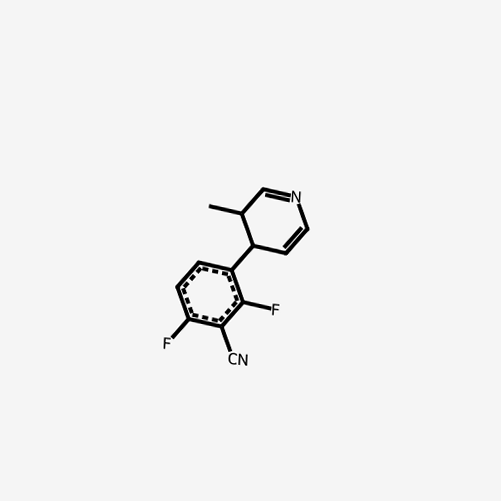 CC1C=NC=CC1c1ccc(F)c(C#N)c1F